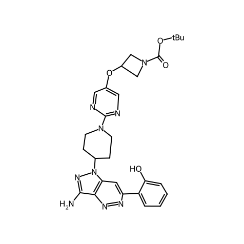 CC(C)(C)OC(=O)N1CC(Oc2cnc(N3CCC(n4nc(N)c5nnc(-c6ccccc6O)cc54)CC3)nc2)C1